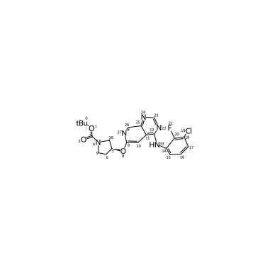 CC(C)(C)OC(=O)N1CC[C@H](Oc2cc3c(Nc4cccc(Cl)c4F)ncnc3cn2)C1